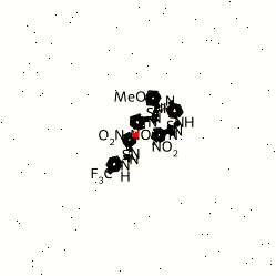 COc1cccc(Nc2nnc(-c3cccc([N+](=O)[O-])c3)s2)c1.O=[N+]([O-])c1ccc(Nc2nnc(-c3cccc([N+](=O)[O-])c3)s2)cc1.O=[N+]([O-])c1cccc(-c2nnc(Nc3cccc(C(F)(F)F)c3)s2)c1